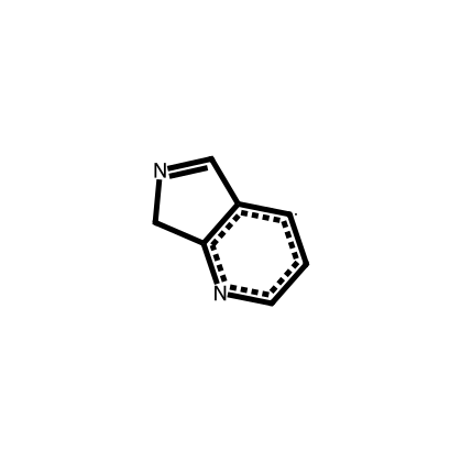 [c]1ccnc2c1C=NC2